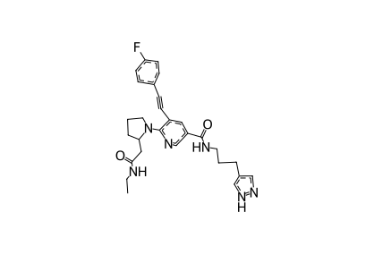 CCNC(=O)CC1CCCN1c1ncc(C(=O)NCCCc2cn[nH]c2)cc1C#Cc1ccc(F)cc1